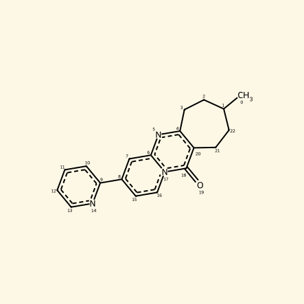 CC1CCc2nc3cc(-c4ccccn4)ccn3c(=O)c2CC1